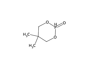 CC1(C)CO[PH](=O)OC1